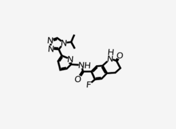 CC(C)n1cnnc1-c1cccc(NC(=O)c2cc3c(cc2F)CCC(=O)N3)n1